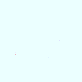 COP(=O)(CCCCO)OC